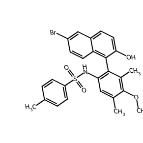 COc1c(C)cc(NS(=O)(=O)c2ccc(C)cc2)c(-c2c(O)ccc3cc(Br)ccc23)c1C